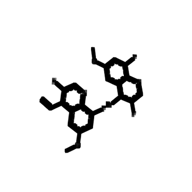 C=Cc1c(F)cnc2c(F)cc(OC)cc12.COc1cc(F)c2ncc(F)c(Br)c2c1